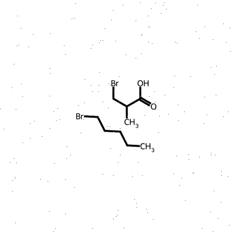 CC(CBr)C(=O)O.CCCCCBr